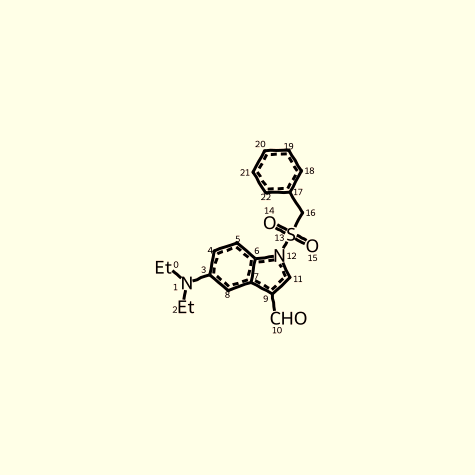 CCN(CC)c1ccc2c(c1)c(C=O)cn2S(=O)(=O)Cc1ccccc1